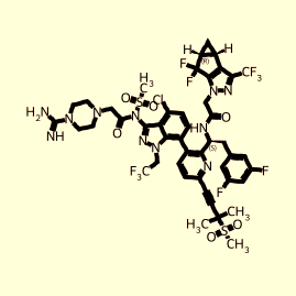 CC(C)(C#Cc1ccc(-c2ccc(Cl)c3c(N(C(=O)CN4CCN(C(=N)N)CC4)S(C)(=O)=O)nn(CC(F)(F)F)c23)c([C@H](Cc2cc(F)cc(F)c2)NC(=O)Cn2nc(C(F)(F)F)c3c2C(F)(F)[C@@H]2C[C@H]32)n1)S(C)(=O)=O